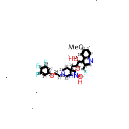 COc1ccc2ncc(CF)c([C@H](O)CCC3(C(=O)NO)CCN(CCOc4cc(F)c(F)c(F)c4)CC3)c2c1